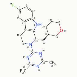 Fc1ccc2[nH]c3c(c2c1)CCN(c1nc(C(F)(F)F)nc(C(F)(F)F)n1)[C@H]3C[C@H]1CCCOC1